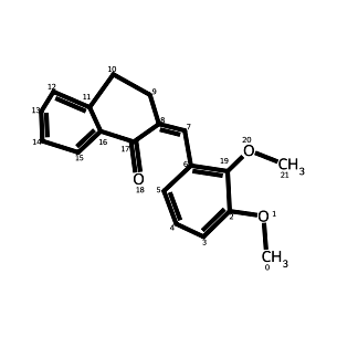 COc1cccc(C=C2CCc3ccccc3C2=O)c1OC